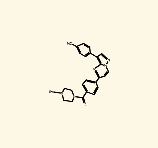 CC(C)N1CCN(C(=O)c2ccc(-c3ccn4ncc(-c5ccc(C#N)cc5)c4n3)cc2)CC1